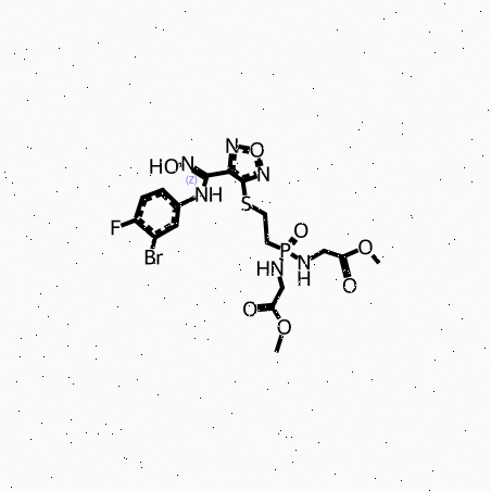 COC(=O)CNP(=O)(CCSc1nonc1/C(=N/O)Nc1ccc(F)c(Br)c1)NCC(=O)OC